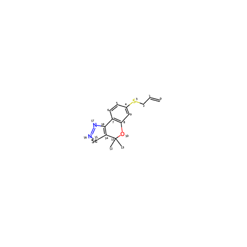 C=CCSc1ccc2c(c1)OC(C)(C)c1[se]nnc1-2